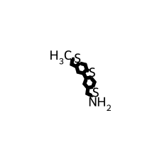 Cc1cc2cc3c(cc2s1)sc1cc2sc(N)cc2cc13